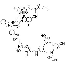 CCC(=O)NCCNC(=O)/N=C(/N)NCCC[C@@H](NC(=O)C(c1cccc(NC(=O)CCCNC(=O)[C@@H](CO)NC(=O)CCNC(=O)CN2CCN(CC(=O)O)CCN(CC(=O)O)CCN(CC(=O)O)CC2)c1)N1Cc2ccccc2C1)C(=O)NCc1c(F)cc(O)cc1F